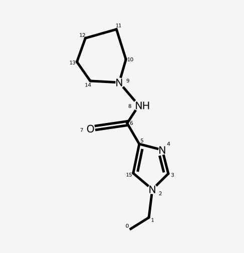 CCn1cnc(C(=O)NN2CCCCC2)c1